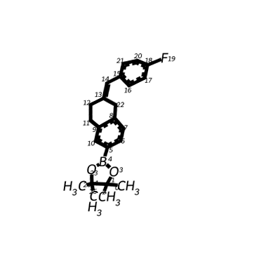 CC1(C)OB(c2ccc3c(c2)CCC(=Cc2ccc(F)cc2)C3)OC1(C)C